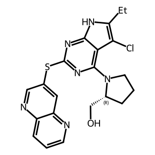 CCc1[nH]c2nc(Sc3cnc4cccnc4c3)nc(N3CCC[C@@H]3CO)c2c1Cl